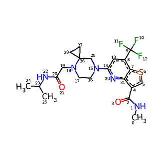 CNC(=O)c1csc2c(C(F)(F)F)cc(N3CCN(CC(=O)NC(C)C)C4(CC4)C3)nc12